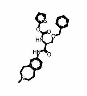 CN1CCc2ccc(NC(=O)[C@H](COCc3ccccc3)NC(=O)Oc3cccs3)cc2CC1